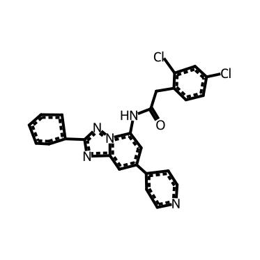 O=C(Cc1ccc(Cl)cc1Cl)Nc1cc(-c2ccncc2)cc2nc(-c3ccccc3)nn12